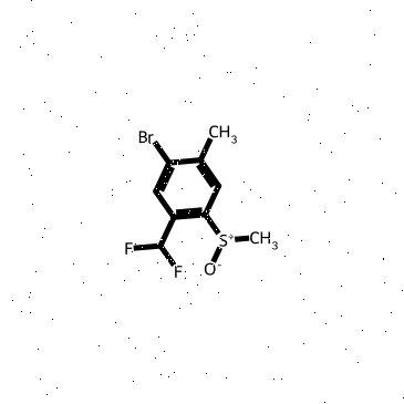 Cc1cc([S+](C)[O-])c(C(F)F)cc1Br